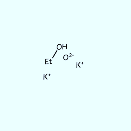 CCO.[K+].[K+].[O-2]